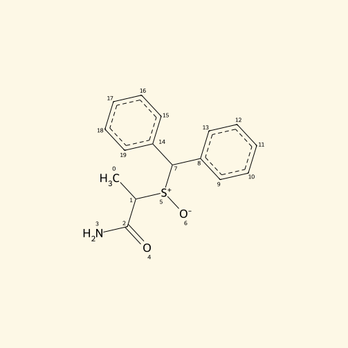 CC(C(N)=O)[S+]([O-])C(c1ccccc1)c1ccccc1